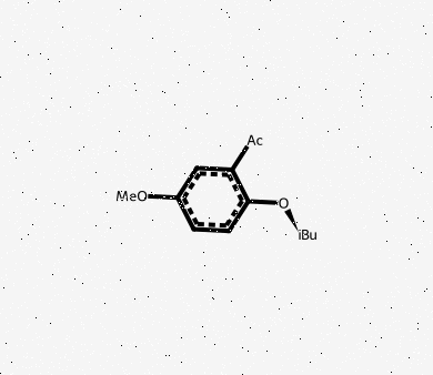 CC[C@H](C)Oc1ccc(OC)cc1C(C)=O